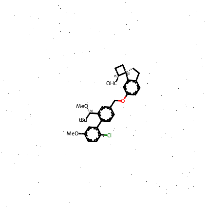 COc1ccc(Cl)c(-c2ccc(COc3ccc4c(c3)[C@]3(CC4)CC[C@@H]3C=O)cc2[C@@H](OC)C(C)(C)C)c1